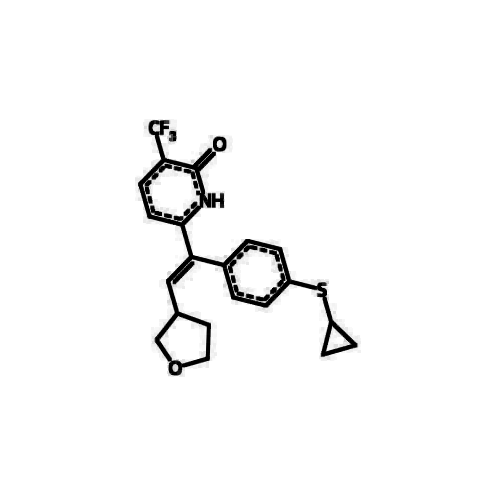 O=c1[nH]c(C(=CC2CCOC2)c2ccc(SC3CC3)cc2)ccc1C(F)(F)F